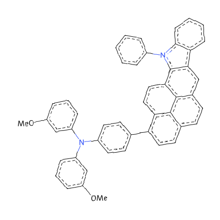 COc1cccc(N(c2ccc(-c3ccc4ccc5cc6c7ccccc7n(-c7ccccc7)c6c6ccc3c4c56)cc2)c2cccc(OC)c2)c1